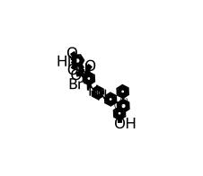 O=C1CCC(N2C(=O)c3ccc(CN4CCN(c5ccc([C@@H]6c7ccc(O)cc7CC[C@@H]6c6ccccc6)cc5)CC4)c(Br)c3C2=O)C(=O)N1